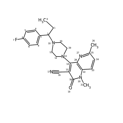 CCC(c1ccc(F)cc1)N1CCN(c2c(C#N)c(=O)n(C)c3ccc(C)nc23)CC1